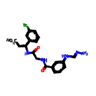 NN=CNc1cccc(C(=O)NCC(=O)NC(CC(=O)O)c2cccc(Br)c2)c1